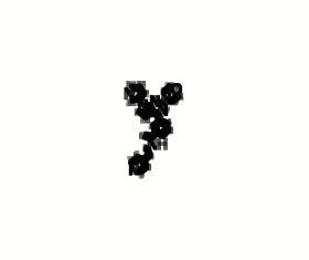 C=C(NCCc1ccncc1)c1cccc(-c2nc(N3CCOCC3)nc3c2CCN3c2cccnc2)c1